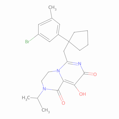 Cc1cc(Br)cc(C2(Cc3nc(=O)c(O)c4n3CCN(C(C)C)C4=O)CCCC2)c1